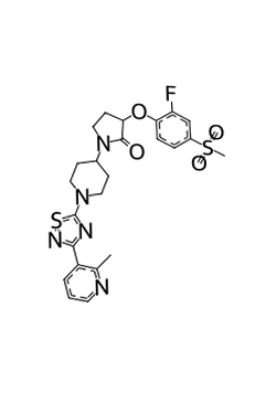 Cc1ncccc1-c1nsc(N2CCC(N3CCC(Oc4ccc(S(C)(=O)=O)cc4F)C3=O)CC2)n1